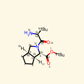 CC(C)(C)OC(=O)[C@@H]1[C@H]2CCC[C@H]2CN1C(=O)[C@@H](N)C(C)(C)C